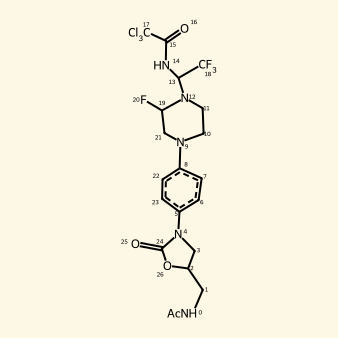 CC(=O)NCC1CN(c2ccc(N3CCN(C(NC(=O)C(Cl)(Cl)Cl)C(F)(F)F)C(F)C3)cc2)C(=O)O1